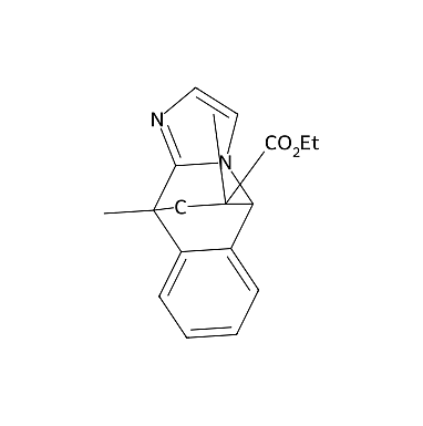 CCOC(=O)C1(C)CC2(C)c3ccccc3C1n1ccnc12